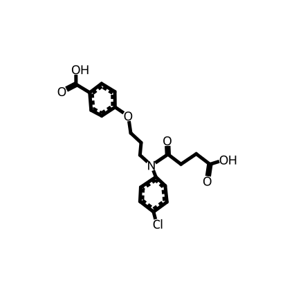 O=C(O)CCC(=O)N(CCCOc1ccc(C(=O)O)cc1)c1ccc(Cl)cc1